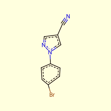 N#Cc1cnn(-c2ccc(Br)cc2)c1